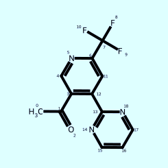 CC(=O)c1cnc(C(F)(F)F)cc1-c1ncccn1